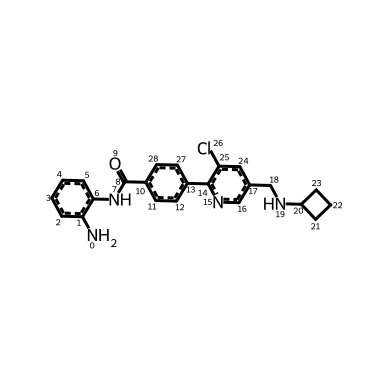 Nc1ccccc1NC(=O)c1ccc(-c2ncc(CNC3CCC3)cc2Cl)cc1